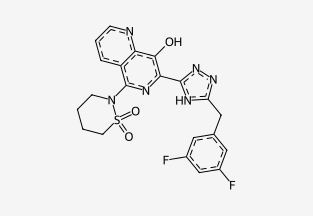 O=S1(=O)CCCCN1c1nc(-c2nnc(Cc3cc(F)cc(F)c3)[nH]2)c(O)c2ncccc12